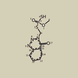 COP(=O)(S)SCn1nnc2ccccc2c1=O